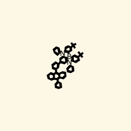 CC(C)(C)c1ccc2c(c1)B1c3cc(C(C)(C)C)ccc3N(c3ccccc3)c3cc(-c4cccc(-c5c6ccccc6c(-c6ccccc6)c6ccccc56)c4)cc(c31)N2c1ccccc1